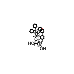 CCOC(=O)c1c(C(C)(C)O)nc(CO)n1Cc1ccc(-c2ccccc2-c2nnnn2C(c2ccccc2)(c2ccccc2)c2ccccc2)cc1